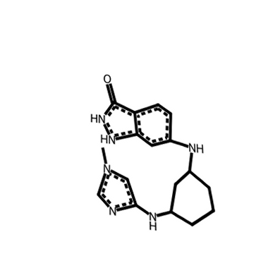 Cn1cnc(NC2CCCC(Nc3ccc4c(=O)[nH][nH]c4c3)C2)c1